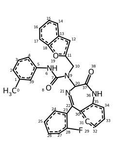 Cc1cccc(NC(=O)N(Cc2cc3ccccc3o2)C2N=C(c3ccccc3F)c3ccccc3NC2=O)c1